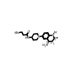 CC(=O)N1c2ccc(N3CCC(NC(=O)CCC(C)(C)C)CC3)cc2[C@H](N)[C@@H](C)[C@@H]1C